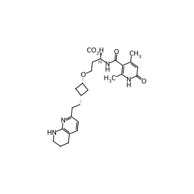 Cc1cc(=O)[nH]c(C)c1C(=O)N[C@@H](CCO[C@H]1C[C@@H](CCc2ccc3c(n2)NCCC3)C1)C(=O)O